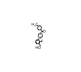 CN1CCC(C(=O)N2CCN(c3cccc(CO)c3F)CC2)CC1